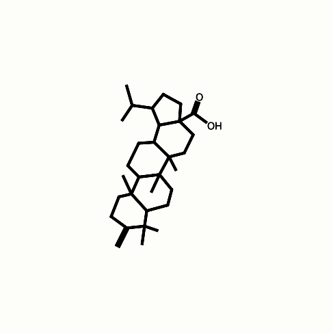 C=C1CCC2(C)C(CCC3(C)C2CCC2C4C(C(C)C)CCC4(C(=O)O)CCC23C)C1(C)C